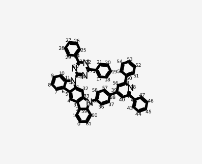 C1=CC2c3cc4c5ccccc5n(-c5nc(-c6ccccc6)nc(-c6ccccc6)n5)c4cc3N(c3ccc(-c4cc(-c5ccccc5)nc(-c5ccccc5)c4)cc3)C2C=C1